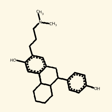 CN(C)CCCc1cc2c(cc1O)C1CCCCC1C(c1ccc(O)cc1)C2